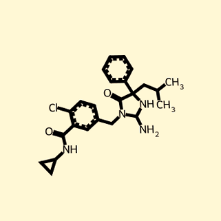 CC(C)CC1(c2ccccc2)NC(N)N(Cc2ccc(Cl)c(C(=O)NC3CC3)c2)C1=O